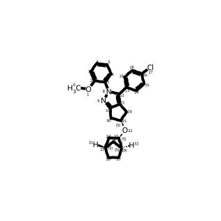 COc1ccccc1-n1nc2c(c1-c1ccc(Cl)cc1)C[C@H](O[C@H]1C[C@H]3CC[C@H]1C3)C2